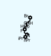 CCCc1cc2nccc(Cc3ccc(NC(=O)C(=O)NCCc4cccc(Br)c4)cc3F)c2cc1C(C)C